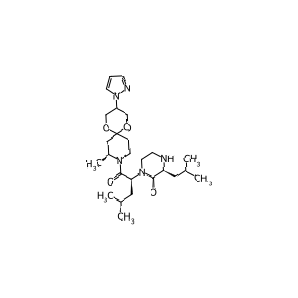 CC(C)C[C@@H]1NCCN([C@@H](CC(C)C)C(=O)N2CCC3(C[C@@H]2C)OCC(n2cccn2)CO3)C1=O